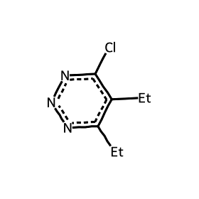 CCc1nnnc(Cl)c1CC